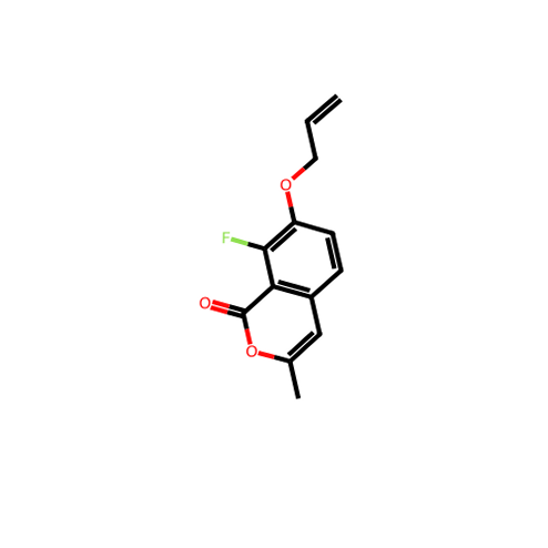 C=CCOc1ccc2cc(C)oc(=O)c2c1F